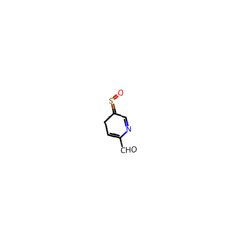 O=CC1=CCC(=S=O)C=N1